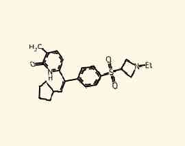 CCN1CC(S(=O)(=O)c2ccc(/C(=C/C3CCCC3)c3ccc(C)c(=O)[nH]3)cc2)C1